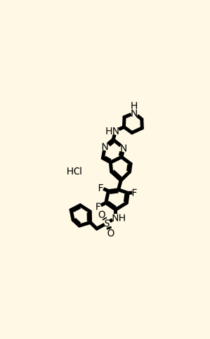 Cl.O=S(=O)(Cc1ccccc1)Nc1cc(F)c(-c2ccc3nc(NC4CCCNC4)ncc3c2)c(F)c1F